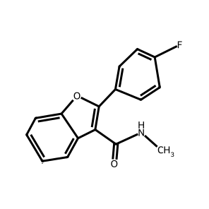 CNC(=O)c1c(-c2ccc(F)cc2)oc2cc[c]cc12